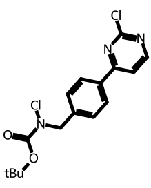 CC(C)(C)OC(=O)N(Cl)Cc1ccc(-c2ccnc(Cl)n2)cc1